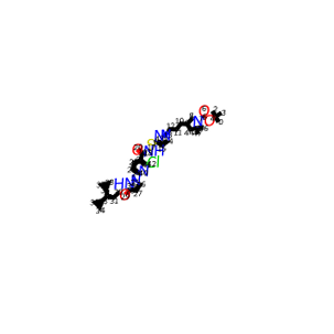 CC(C)(C)OC(=O)N1CC(CCCn2ccc(SNC(=O)c3ccc(N4C=CC(OCCC(C5CC5)C5CC5)N4)nc3Cl)n2)CC1(C)C